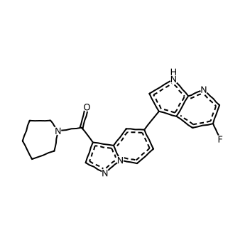 O=C(c1cnn2ccc(-c3c[nH]c4ncc(F)cc34)cc12)N1CCCCC1